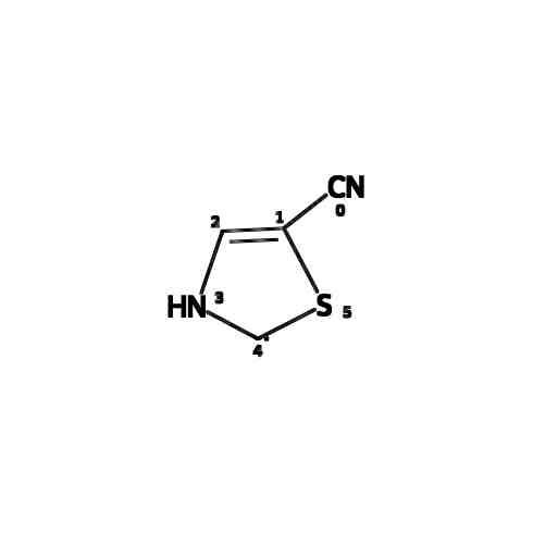 N#CC1=CN[CH]S1